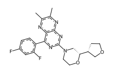 Cc1nc2nc(N3CCO[C@@H]([C@@H]4CCOC4)C3)nc(-c3ccc(F)cc3F)c2nc1C